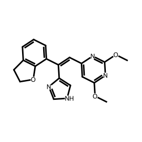 COc1cc(/C=C(\c2c[nH]cn2)c2cccc3c2OCC3)nc(OC)n1